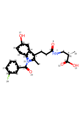 Cc1c(CCC(=O)NC[C@H](C)C(=O)O)c2cc(O)ccc2n1C(=O)c1cccc(F)c1